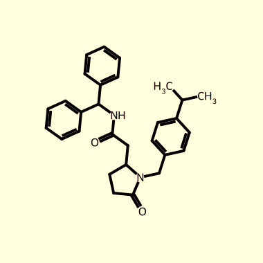 CC(C)c1ccc(CN2C(=O)CCC2CC(=O)NC(c2ccccc2)c2ccccc2)cc1